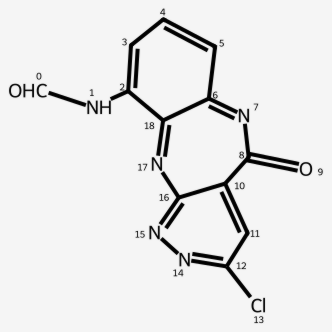 O=CNc1cccc2nc(=O)c3cc(Cl)nnc3nc12